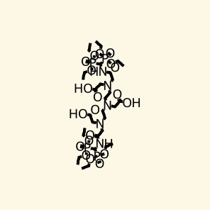 CCOP(=O)(OCC)C(NC(=O)CN(CCN(CCN(CC(=O)O)CC(=O)NC(P(=O)(OCC)OCC)P(=O)(OCC)OCC)CC(=O)O)CC(=O)O)P(=O)(OCC)OCC